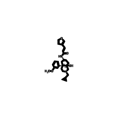 COc1cccc([C@@]23CCN(CC4CC4)C[C@@]2(O)CC[C@@H](NC(=O)C=Cc2ccoc2)C3)c1